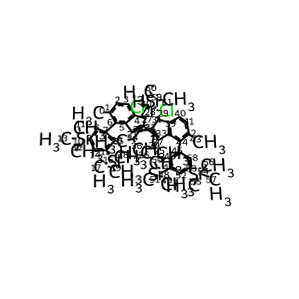 Cc1ccc2c(c1-c1cc([Si](C)(C)C)cc([Si](C)(C)C)c1)C=C(CC(C)C)[CH]2[Zr]([Cl])([Cl])([CH]1C(CC(C)C)=Cc2c1ccc(C)c2-c1cc([Si](C)(C)C)cc([Si](C)(C)C)c1)[SiH](C)C